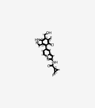 O=C(Nc1cc2cc(-c3c(Cl)c(F)c(CO)c4[nH]ncc34)ccn2n1)C1CC1F